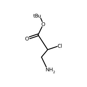 CC(C)(C)OC(=O)C(Cl)CN